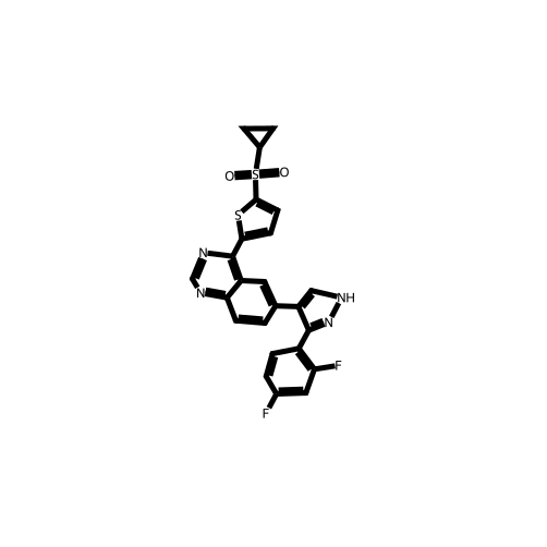 O=S(=O)(c1ccc(-c2ncnc3ccc(-c4c[nH]nc4-c4ccc(F)cc4F)cc23)s1)C1CC1